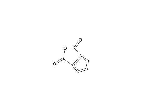 O=C1OC(=O)n2cccc21